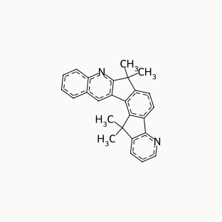 CC1(C)c2ccc3c(c2-c2cc4ccccc4nc21)C(C)(C)c1cccnc1-3